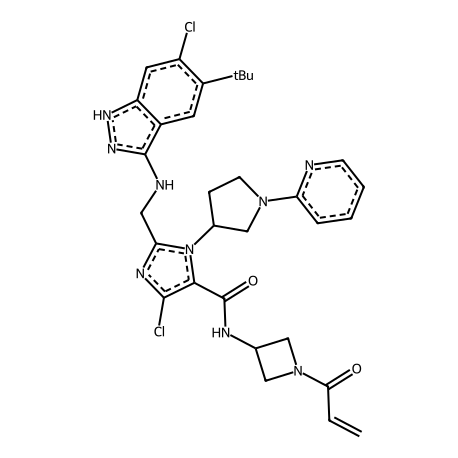 C=CC(=O)N1CC(NC(=O)c2c(Cl)nc(CNc3n[nH]c4cc(Cl)c(C(C)(C)C)cc34)n2C2CCN(c3ccccn3)C2)C1